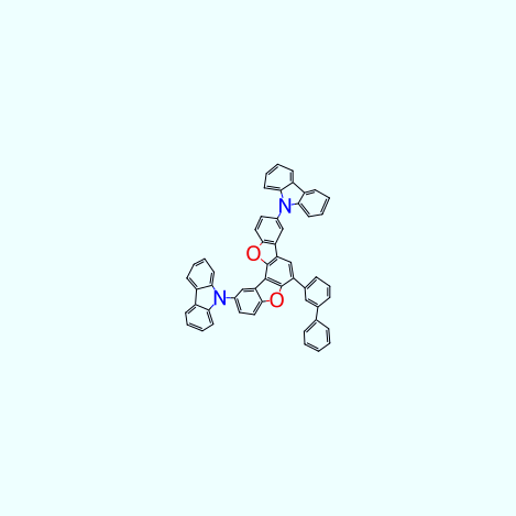 c1ccc(-c2cccc(-c3cc4c5cc(-n6c7ccccc7c7ccccc76)ccc5oc4c4c3oc3ccc(-n5c6ccccc6c6ccccc65)cc34)c2)cc1